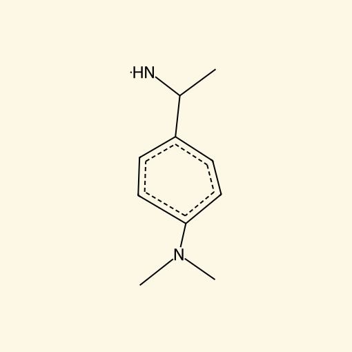 CC([NH])c1ccc(N(C)C)cc1